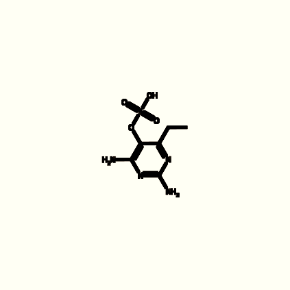 CCc1nc(N)nc(N)c1OS(=O)(=O)O